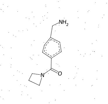 NCc1ccc(C(=O)N2CCC2)cc1